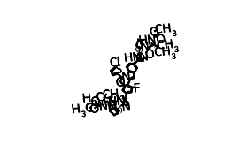 COC(=O)N[C@H](C(=O)N1CCC[C@H]1c1ncc(-c2ccc3c(c2)cc2n3C(c3ccc(Cl)s3)Oc3cc(-c4cnc([C@@H]5CCCN5C(=O)[C@H](NC(=O)OC)C(C)C)[nH]4)cc(F)c3-2)[nH]1)C(C)C